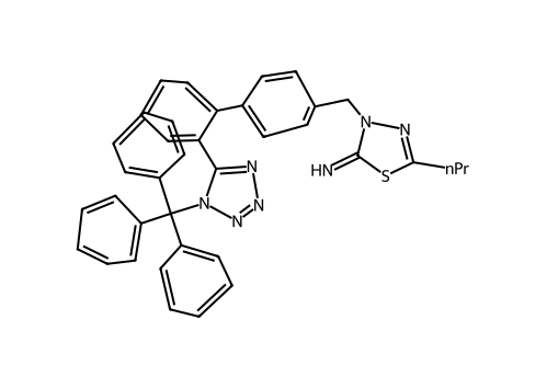 CCCc1nn(Cc2ccc(-c3ccccc3-c3nnnn3C(c3ccccc3)(c3ccccc3)c3ccccc3)cc2)c(=N)s1